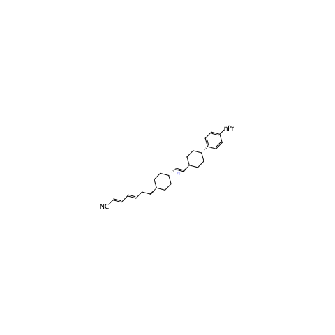 CCCc1ccc([C@H]2CC[C@H](/C=C/[C@H]3CC[C@H](CCC=CC=CC#N)CC3)CC2)cc1